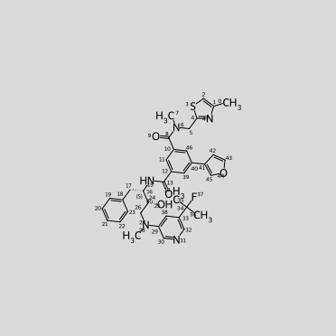 Cc1csc(CN(C)C(=O)c2cc(C(=O)N[C@@H](Cc3ccccc3)[C@H](O)CN(C)c3cncc(C(C)(C)F)c3)cc(-c3ccoc3)c2)n1